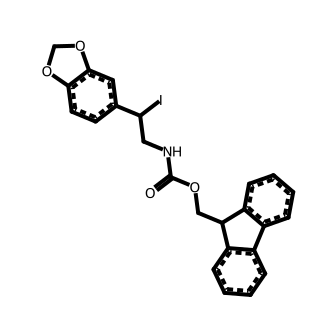 O=C(NCC(I)c1ccc2c(c1)OCO2)OCC1c2ccccc2-c2ccccc21